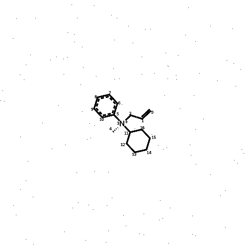 C=CC[N@+](C)(c1ccccc1)C1CCCCC1